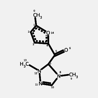 Cc1ccc(C(=O)C2N(C)C=NN2C)o1